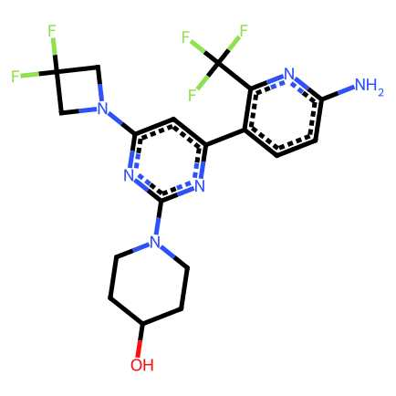 Nc1ccc(-c2cc(N3CC(F)(F)C3)nc(N3CCC(O)CC3)n2)c(C(F)(F)F)n1